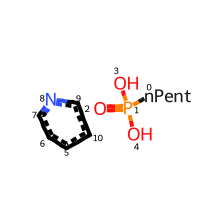 CCCCCP(=O)(O)O.c1ccncc1